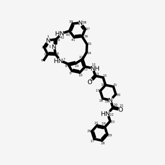 Cc1cnc2nc1Nc1ccc(NC(=O)CC3CCN(C(=O)NCc4ccccc4)CC3)c(c1)CCc1cncc(c1)N2